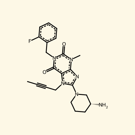 CC#CCn1c(N2CCC[C@@H](N)C2)nc2c1c(=O)n(Cc1ccccc1F)c(=O)n2C